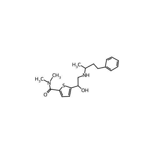 CC(CCc1ccccc1)NCC(O)c1ccc(C(=O)N(C)C)s1